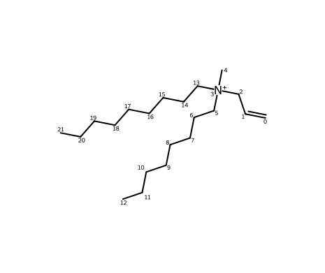 C=CC[N+](C)(CCCCCCCC)CCCCCCCCC